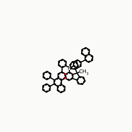 CC1(c2ccccc2)c2ccccc2-c2cccc(N(c3ccc(-c4cccc5ccccc45)cc3)c3ccccc3-c3ccc4c(c3)c(-c3ccccc3)c(-c3ccccc3)c3ccccc34)c21